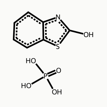 O=P(O)(O)O.Oc1nc2ccccc2s1